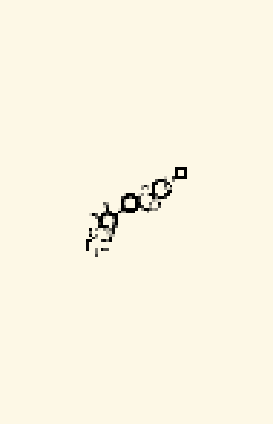 Cc1c(-c2ccc3c(c2)COC2(CCN(C4CCC4)CC2)O3)cn(CC(F)(F)F)c(=O)c1C